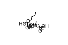 CCCC[O][Ti]([OH])([OH])[OH].CCO.O=[N+]([O-])O